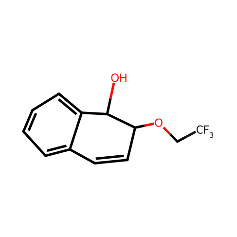 OC1c2ccccc2C=CC1OCC(F)(F)F